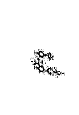 C[C@@H](Nc1c(Cl)cnc2ccc(-c3cnc(C(C)(C)O)nc3)cc12)c1cc(-n2cnnc2)ccc1F